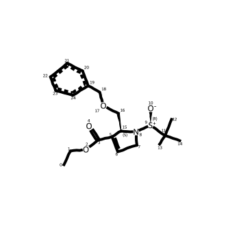 CCOC(=O)C1=CCN([S@@+]([O-])C(C)(C)C)[C@@H]1COCc1ccccc1